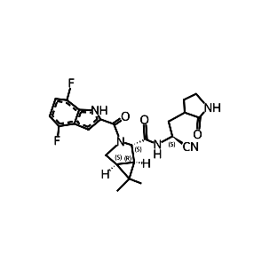 CC1(C)[C@@H]2[C@@H](C(=O)N[C@H](C#N)CC3CCNC3=O)N(C(=O)c3cc4c(F)ccc(F)c4[nH]3)C[C@@H]21